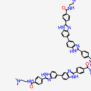 CN(C)CCNC(=O)c1ccc(-c2nc3cc(-c4ccc5[nH]c(-c6ccc(C(=O)NC7CCCCC7NC(=O)c7ccc(-c8nc9cc(-c%10ccc%11[nH]c(-c%12ccc(C(=O)NCCN(C)C)cc%12)nc%11c%10)ccc9[nH]8)cc7)cc6)nc5c4)ccc3[nH]2)cc1